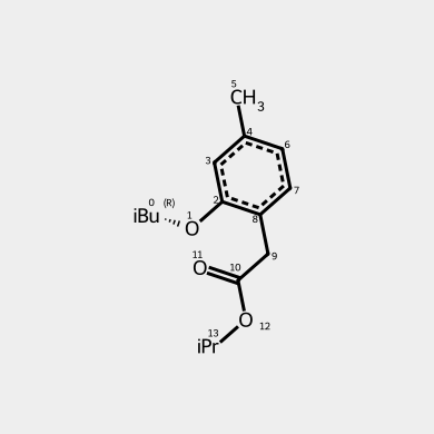 CC[C@@H](C)Oc1cc(C)ccc1CC(=O)OC(C)C